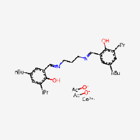 CC(=O)[O-].CC(=O)[O-].CCCCc1cc(C=NCCCN=Cc2cc(CCCC)cc(C(C)C)c2O)c(O)c(C(C)C)c1.[Co+2]